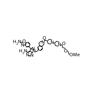 COCCOCCC(=O)N1CCC(N2CCC(C(=O)N3CCc4cc(Cn5nc(-c6ccc7oc(N)nc7c6)c6c(N)ncnc65)ccc4C3)CC2)CC1